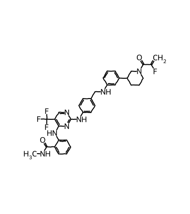 C=C(F)C(=O)N1CCCC(c2cccc(NCc3ccc(Nc4ncc(C(F)(F)F)c(Nc5ccccc5C(=O)NC)n4)cc3)c2)C1